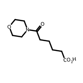 O=C(O)CCCCC(=O)N1CCOCC1